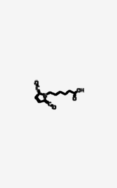 O=C=c1ccc(=C=O)n1CCCCCC(=O)O